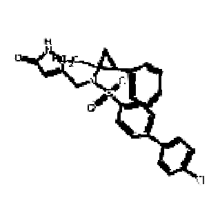 O=C(O)[C@@]1(N(Cc2cc(=O)[nH][nH]2)S(=O)(=O)c2ccc(-c3ccc(Cl)cc3)cc2)C[C@H]1c1ccccc1